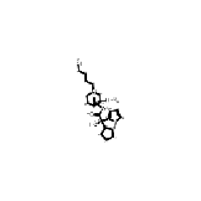 O=C(O[C@H]1C[N+]2(CCCCO)CCC1CC2)[C@](O)(c1cccs1)C1CCCC1.[Br-]